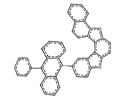 c1ccc(-c2c3ccccc3c(-c3ccc4oc5ccc6sc7c8ccccc8ccc7c6c5c4c3)c3ccccc23)cc1